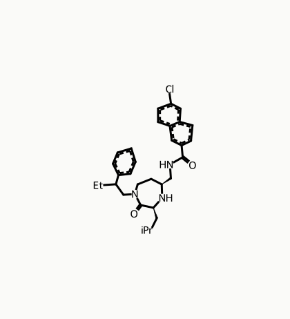 CCC(CN1CC[C@@H](CNC(=O)c2ccc3cc(Cl)ccc3c2)N[C@@H](CC(C)C)C1=O)c1ccccc1